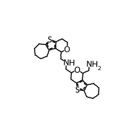 NCC1OC(CNCC2OCCc3sc4c(c32)CCCCC4)Cc2sc3c(c21)CCCCC3